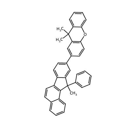 CC1(C)c2ccccc2Oc2ccc(-c3ccc4c(c3)C(C)(c3ccccc3)c3c-4ccc4ccccc34)cc21